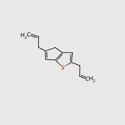 C=CCC1=Cc2sc(CC=C)cc2C1